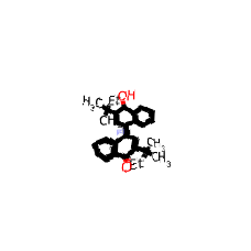 CCC(C)(C)C1=C/C(=C2/C=C(C(C)(C)CC)C(O)c3ccccc32)c2ccccc2C1=O